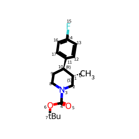 C[C@@H]1CN(C(=O)OC(C)(C)C)CC[C@H]1c1ccc(F)cc1